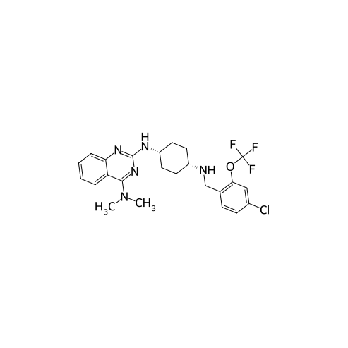 CN(C)c1nc(N[C@H]2CC[C@@H](NCc3ccc(Cl)cc3OC(F)(F)F)CC2)nc2ccccc12